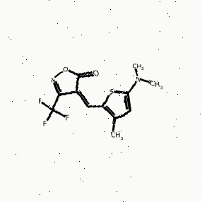 Cc1cc(N(C)C)sc1C=C1C(=O)ON=C1C(F)(F)F